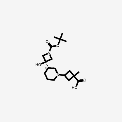 CC(C)(C)OC(=O)N1CC(O)([C@H]2CCCN(C3CC(C)(C(=O)O)C3)C2)C1